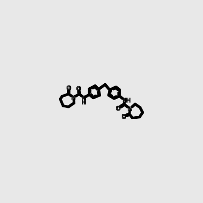 O=C1CCCCCN1C(=O)Nc1ccc(Cc2ccc(NC(=O)N3CCCCCC3=O)cc2)cc1